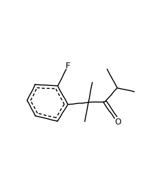 CC(C)C(=O)C(C)(C)c1ccccc1F